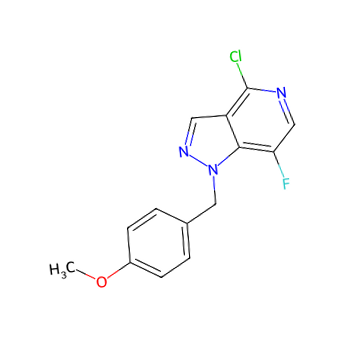 COc1ccc(Cn2ncc3c(Cl)ncc(F)c32)cc1